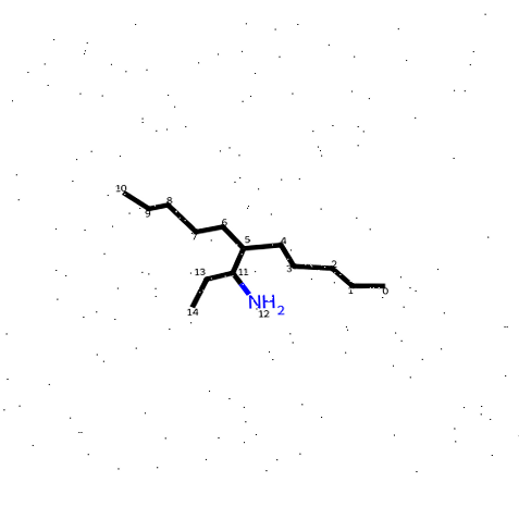 CCCCCC(CCCCC)C(N)CC